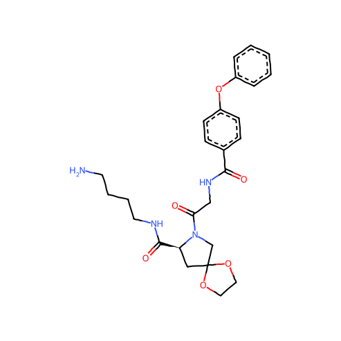 NCCCCNC(=O)[C@@H]1CC2(CN1C(=O)CNC(=O)c1ccc(Oc3ccccc3)cc1)OCCO2